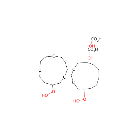 O=C(O)O.O=C(O)O.OOC1CCCCCCCCCCC1.OOC1CCCCCCCCCCC1